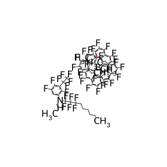 CCCCCCC(F)(F)C(F)(F)C(F)(F)[NH+](CCC)c1cc(F)c(F)c(C(F)(F)C(F)(F)F)c1F.CCc1c(F)c(F)c(F)c2c(F)c(F)c(F)c([B-](c3c(F)c(F)c(F)c4c(F)c(F)c(F)c(CC)c34)(c3c(F)c(F)c(F)c4c(F)c(F)c(F)c(CC)c34)c3c(F)c(F)c(F)c4c(F)c(F)c(F)c(CC)c34)c12